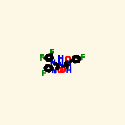 CN1C(=O)[C@H](NC(=O)C(C)(C)NC(=O)c2ccc(F)cc2)CN(c2cc(F)cc(F)c2)c2ccc(F)cc21